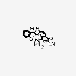 N#CNC(=O)C1=C(C(N)=O)N(CCc2ccccc2Cl)C(N)C=C1